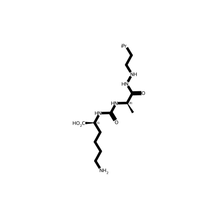 CC(C)CCNNC(=O)[C@@H](C)NC(=O)N[C@@H](CCCCN)C(=O)O